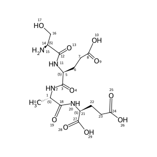 C[C@H](NC(=O)[C@H](CCC(=O)O)NC(=O)[C@@H](N)CO)C(=O)N[C@@H](CCC(=O)O)C(=O)O